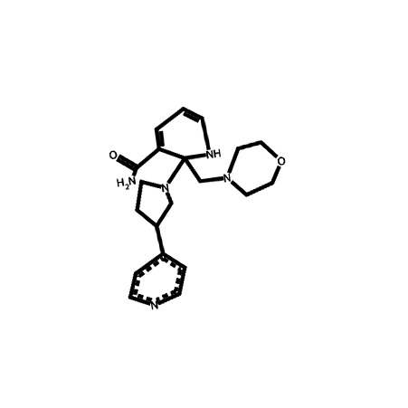 NC(=O)C1=CC=CNC1(CN1CCOCC1)N1CCC(c2ccncc2)C1